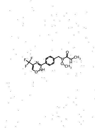 CNC(=O)N(Cc1ccc(C2=NC(C(F)(F)F)=CON2)cc1)OC